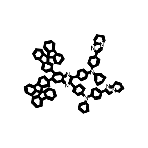 c1ccc(N(c2ccc(-c3cn4ccccc4n3)cc2)c2ccc(-c3nc4cc(-c5ccc6c(c5)C5(c7ccccc7-c7ccccc75)c5ccccc5-6)c(-c5ccc6c(c5)C5(c7ccccc7-c7ccccc75)c5ccccc5-6)cc4nc3-c3ccc(N(c4ccccc4)c4ccc(-c5cn6ccccc6n5)cc4)cc3)cc2)cc1